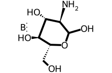 N[C@H]1C(O)O[C@H](CO)[C@@H](O)[C@@H]1O.[B]